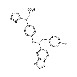 O=C(O)CC(c1ccc(OC(Cc2ccc(F)cc2)c2ccc3cc[nH]c3n2)cc1)c1ccon1